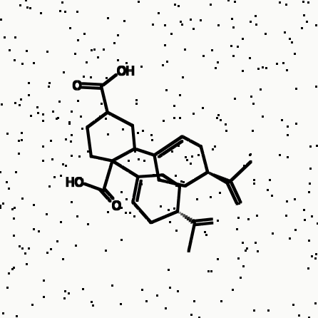 C=C(C)[C@@H]1CC=C(C2CC(C(=O)O)CCC2(C(=O)O)C2=CC[C@@H](C(=C)C)CC2)CC1